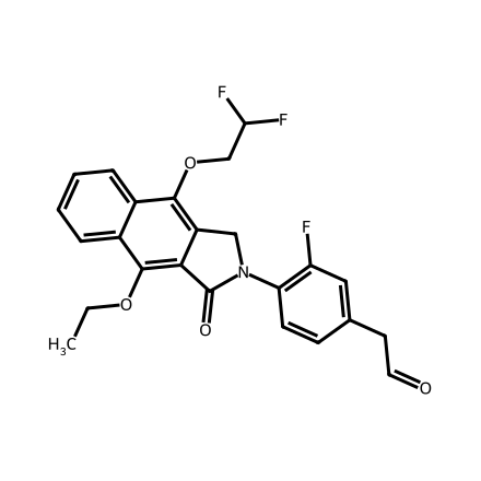 CCOc1c2c(c(OCC(F)F)c3ccccc13)CN(c1ccc(CC=O)cc1F)C2=O